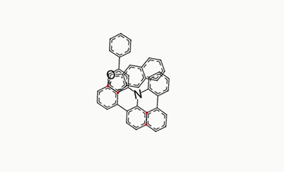 c1ccc(-c2cccc(N(c3ccccc3-c3ccccc3)c3ccccc3-c3cccc4oc5cc6ccccc6cc5c34)c2)cc1